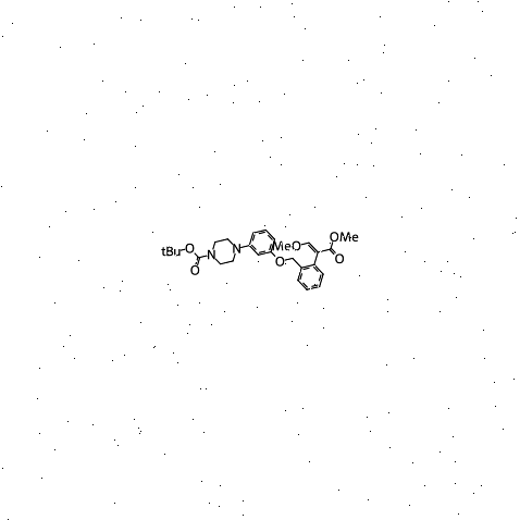 CO/C=C(/C(=O)OC)c1ccccc1COc1cccc(N2CCN(C(=O)OC(C)(C)C)CC2)c1